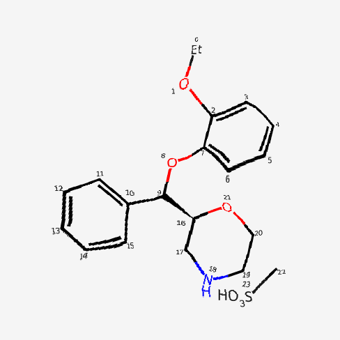 CCOc1ccccc1OC(c1ccccc1)[C@@H]1CNCCO1.CS(=O)(=O)O